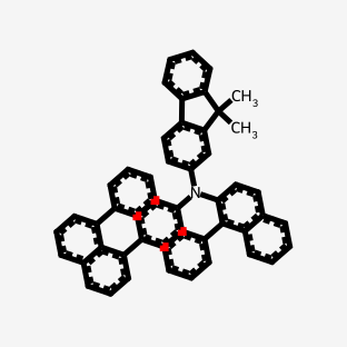 CC1(C)c2ccccc2-c2ccc(N(c3ccc(-c4cccc5cccc(-c6ccccc6)c45)cc3)c3ccc4ccccc4c3-c3ccccc3)cc21